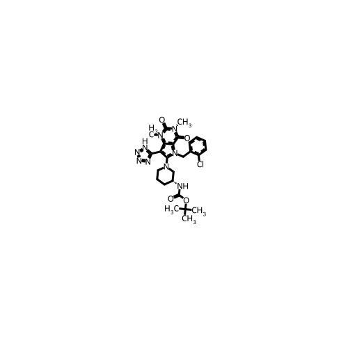 Cn1c(=O)c2c(c(-c3nnn[nH]3)c(N3CCC[C@@H](NC(=O)OC(C)(C)C)C3)n2Cc2ccccc2Cl)n(C)c1=O